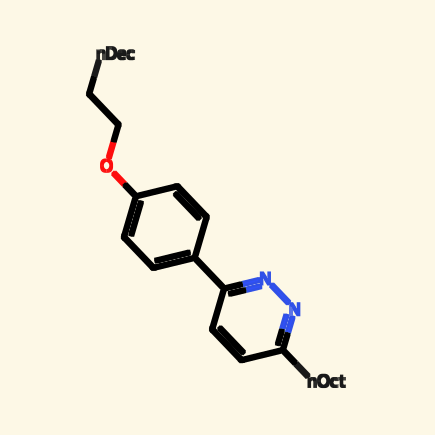 CCCCCCCCCCCCOc1ccc(-c2ccc(CCCCCCCC)nn2)cc1